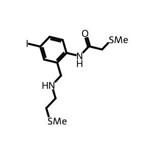 CSCCNCc1cc(I)ccc1NC(=O)CSC